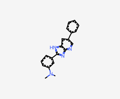 CN(C)c1cccc(-c2nc3ncc(-c4ccccc4)cc3[nH]2)c1